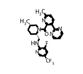 Cc1ccc(-c2ncccn2)c(C(=O)N2C[C@@H](C)CC[C@H]2CNc2ncc(C(F)(F)F)cc2F)n1